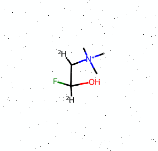 [2H]C(C([2H])(O)F)[N+](C)(C)C